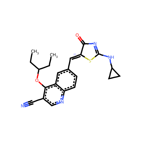 CCC(CC)Oc1c(C#N)cnc2ccc(/C=C3\SC(NC4CC4)=NC3=O)cc12